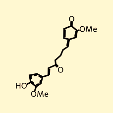 COC1=CC(=CCCCC(=O)C=Cc2ccc(O)c(OC)c2)C=CC1=O